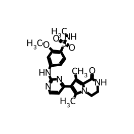 CNS(=O)(=O)c1ccc(Nc2nccc(-c3c(C)c4n(c3C)CCNC4=O)n2)cc1OC